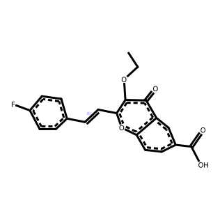 CCOc1c(/C=C/c2ccc(F)cc2)oc2ccc(C(=O)O)cc2c1=O